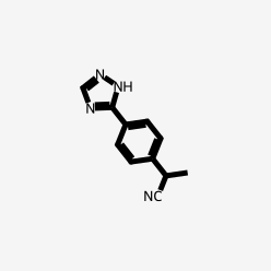 CC(C#N)c1ccc(-c2ncn[nH]2)cc1